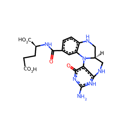 Nc1nc(=O)c2c([nH]1)NC[C@@H]1CNc3ccc(C(=O)N[C@@H](CCC(=O)O)C(=O)O)cc3N21